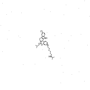 CC(C)COC(=O)N1CCc2c([nH]c3ccc(Cl)cc23)C1c1ccc(OCCCCCCNC(C)C)cc1